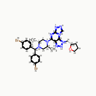 C[C@@H]1CN(c2nc3nncn3c3c2nnn3C[C@@H]2CCCO2)[C@@H](C)CN1C(c1ccc(Br)cc1)c1ccc(Br)cc1